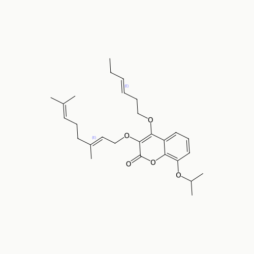 CC/C=C/CCOc1c(OC/C=C(\C)CCC=C(C)C)c(=O)oc2c(OC(C)C)cccc12